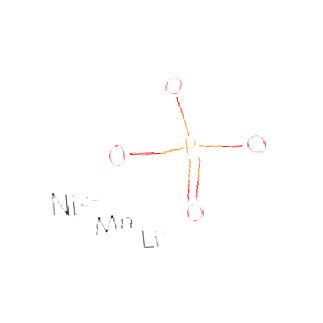 O=P([O-])([O-])[O-].[Li+].[Mn].[Ni+2]